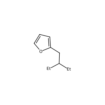 CCC(CC)Cc1ccco1